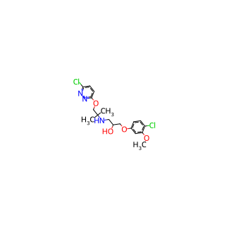 COc1cc(OCC(O)CNC(C)(C)COc2ccc(Cl)nn2)ccc1Cl